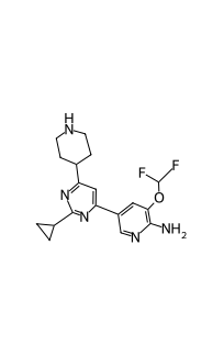 Nc1ncc(-c2cc(C3CCNCC3)nc(C3CC3)n2)cc1OC(F)F